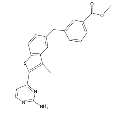 COC(=O)c1cccc(Cc2ccc3sc(-c4ccnc(N)n4)c(C)c3c2)c1